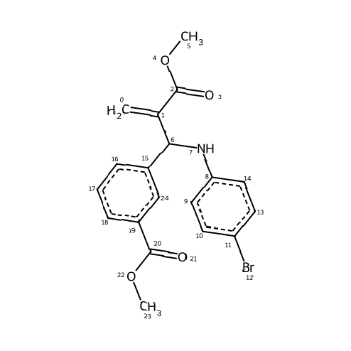 C=C(C(=O)OC)C(Nc1ccc(Br)cc1)c1cccc(C(=O)OC)c1